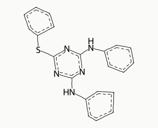 c1ccc(Nc2nc(Nc3ccccc3)nc(Sc3ccccc3)n2)cc1